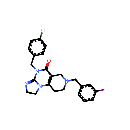 O=C1C2=C(CCN(Cc3cccc(I)c3)C2)N2CCN=C2N1Cc1ccc(Cl)cc1